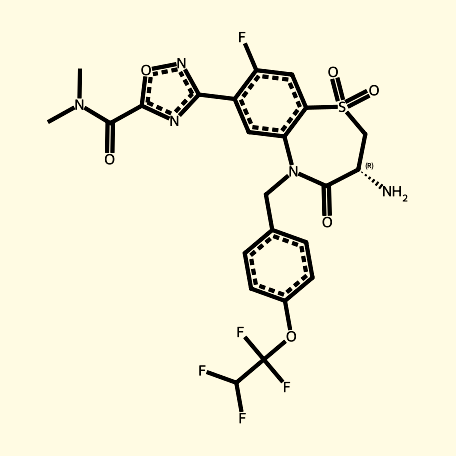 CN(C)C(=O)c1nc(-c2cc3c(cc2F)S(=O)(=O)C[C@H](N)C(=O)N3Cc2ccc(OC(F)(F)C(F)F)cc2)no1